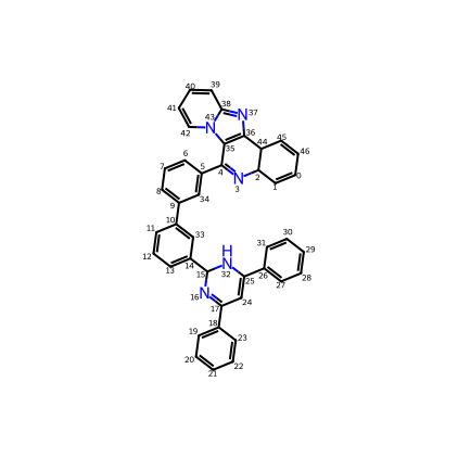 C1=CC2N=C(c3cccc(-c4cccc(C5N=C(c6ccccc6)C=C(c6ccccc6)N5)c4)c3)c3c(nc4ccccn34)C2C=C1